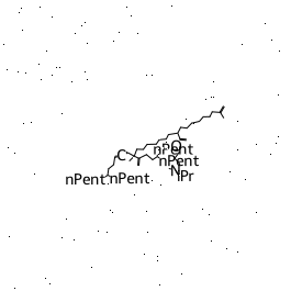 C=C(C)CCCCCCCC(CCCCCCCC(C)(C=C=CCCC(CCCCC)CCCCC)C(=C)CCC(CCCCC)CCCCC)C(=C)OCCCN(C)C(C)C